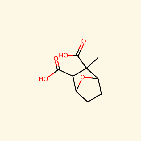 CC1(C(=O)O)C2CCC(O2)C1C(=O)O